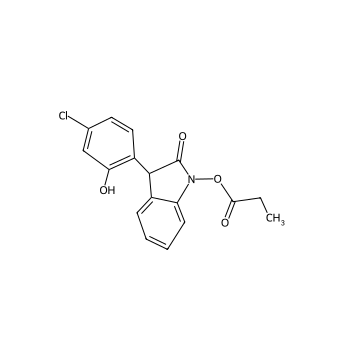 CCC(=O)ON1C(=O)C(c2ccc(Cl)cc2O)c2ccccc21